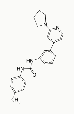 Cc1ccc(NC(=O)Nc2cccc(-c3ccnc(N4CCCC4)c3)c2)cc1